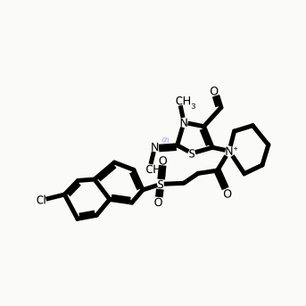 C/N=c1\sc([N+]2(C(=O)CCS(=O)(=O)c3ccc4cc(Cl)ccc4c3)CCCCC2)c(C=O)n1C